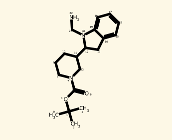 CC(C)(C)OC(=O)N1CCCC(C2Cc3ccccc3N2CN)C1